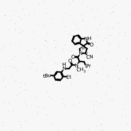 CCc1ccc(C(C)(C)C)cc1NCC(=O)N(C)C(CC(C)C)C(=O)N1C[C@]2(C[C@H]1C#N)C(=O)Nc1ccccc12